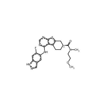 COCCN(C)C(=O)[C@H]1CCc2c(sc3ncnc(Nc4cc5cn[nH]c5cc4F)c23)C1